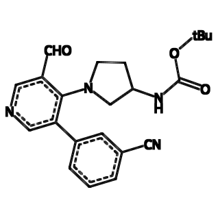 CC(C)(C)OC(=O)NC1CCN(c2c(C=O)cncc2-c2cccc(C#N)c2)C1